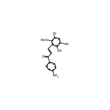 COc1c(C(C)C)cc(C(C)C)c(O)c1/C=C/C(=O)c1ccc(N)cc1